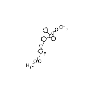 CCOCCn1c(-c2ccccc2)c(-c2cccc(COc3ccc(CCC(=O)OCC)c(F)c3)c2)c2ccccc21